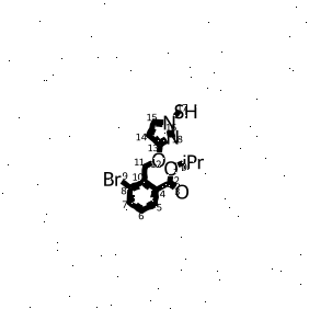 CC(C)OC(=O)c1cccc(Br)c1COc1ccn(S)n1